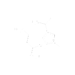 CCC(N)[n+]1ccn(C)c1.NC(CCC(=O)O)C(=O)O